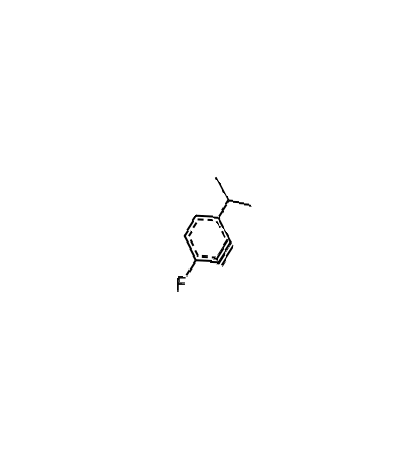 CC(C)c1c#cc(F)cc1